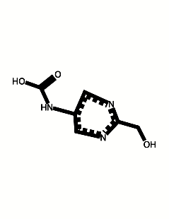 O=C(O)Nc1cnc(CO)nc1